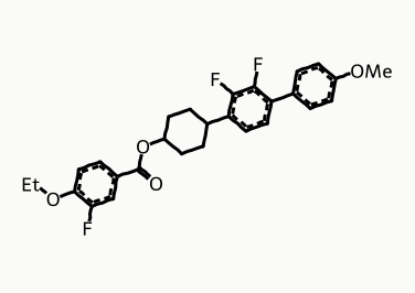 CCOc1ccc(C(=O)OC2CCC(c3ccc(-c4ccc(OC)cc4)c(F)c3F)CC2)cc1F